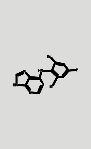 Fc1cc(Br)c(Nc2ncnc3[nH]cnc23)c(Br)c1